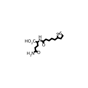 NC(=O)CCC(NC(=O)CCCCC1CCSS1)C(=O)O